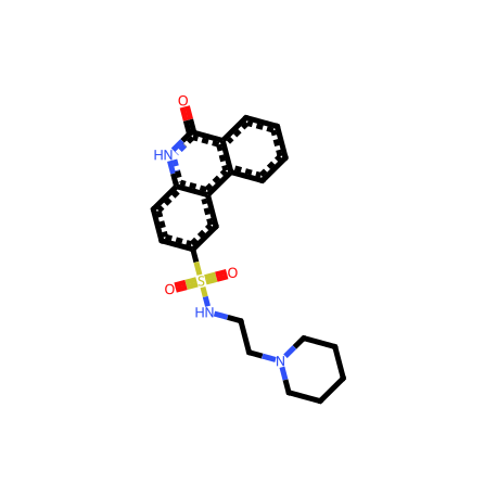 O=c1[nH]c2ccc(S(=O)(=O)NCCN3CCCCC3)cc2c2ccccc12